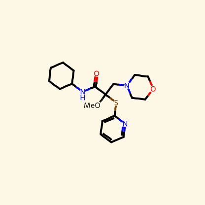 COC(CN1CCOCC1)(Sc1ccccn1)C(=O)NC1CCCCC1